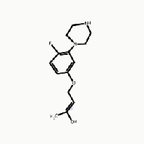 C/C(O)=C\COc1ccc(F)c(N2CCNCC2)c1